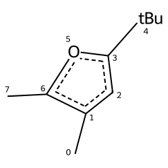 Cc1cc(C(C)(C)C)oc1C